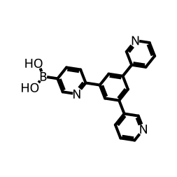 OB(O)c1ccc(-c2cc(-c3cccnc3)cc(-c3cccnc3)c2)nc1